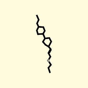 CCCOC/C=C/C1CCC(C2CCC(CCC)CC2)CC1